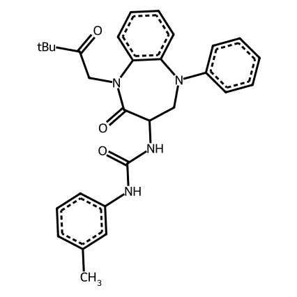 Cc1cccc(NC(=O)NC2CN(c3ccccc3)c3ccccc3N(CC(=O)C(C)(C)C)C2=O)c1